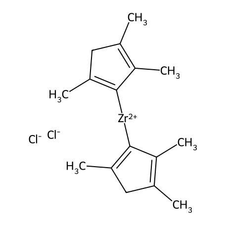 CC1=C(C)[C]([Zr+2][C]2=C(C)CC(C)=C2C)=C(C)C1.[Cl-].[Cl-]